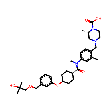 Cc1cc(N(C)C(=O)[C@H]2CC[C@H](Oc3cccc(COCC(C)(C)O)c3)CC2)ccc1CN1CCN(C(=O)O)[C@@H](C)C1